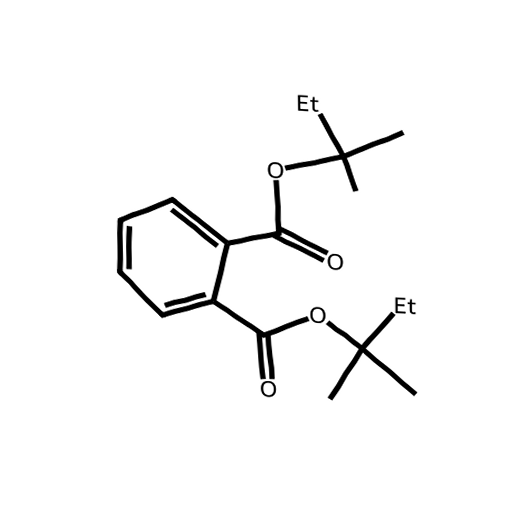 CCC(C)(C)OC(=O)c1ccccc1C(=O)OC(C)(C)CC